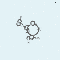 Cc1cc2[nH]ncc2c2c1CCC[C@@H](O)CC[C@@H]1CCCN(C1)c1nc(OC[C@@]34CCCN3C[C@H](F)C4)nc3c(F)c-2ncc13